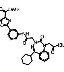 COC(=O)c1coc(-c2cccc(NC(=O)CN3N=C(C4CCCCC4)c4ccccc4N(CC(=O)C(C)(C)C)C3=O)c2)n1